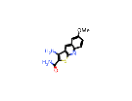 COc1ccc2nc3sc(C(N)=O)c(N)c3cc2c1